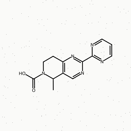 CC1c2cnc(-c3ncccn3)nc2CCN1C(=O)O